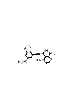 COc1cc(C#CC(=N)c2c(N)ncnc2N)cc(OC)c1